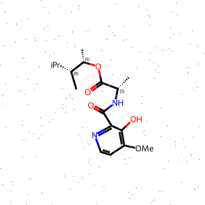 COc1ccnc(C(=O)N[C@@H](C)C(=O)O[C@@H](C)[C@H](C)C(C)C)c1O